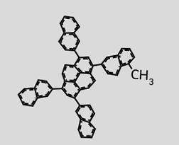 Cc1cccc2cc(-c3cc(-c4ccc5ccccc5c4)c4ccc5c(-c6ccc7ccccc7c6)cc(-c6ccc7ccccc7c6)c6ccc3c4c56)ccc12